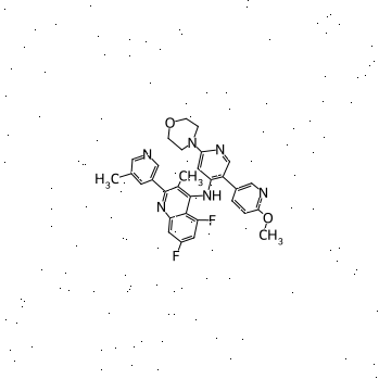 COc1ccc(-c2cnc(N3CCOCC3)cc2Nc2c(C)c(-c3cncc(C)c3)nc3cc(F)cc(F)c23)cn1